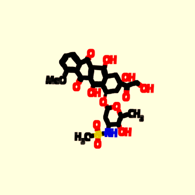 COc1cccc2c1C(=O)c1c(O)c3c(c(O)c1C2=O)C[C@@](O)(C(=O)CO)C[C@@H]3OC1CC(NS(C)(=O)=O)C(O)C(C)O1